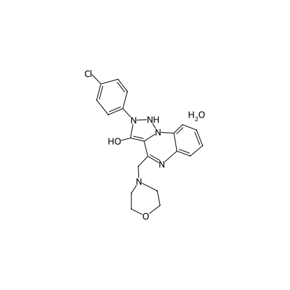 O.OC1=C2C(CN3CCOCC3)=Nc3ccccc3N2NN1c1ccc(Cl)cc1